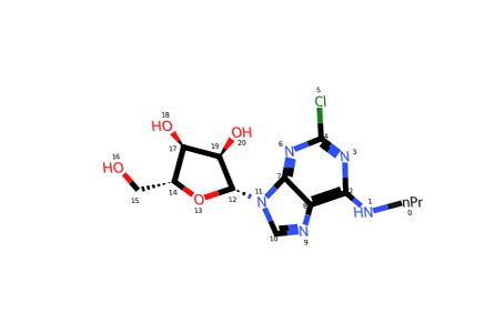 CCCNc1nc(Cl)nc2c1ncn2[C@@H]1O[C@H](CO)[C@@H](O)[C@H]1O